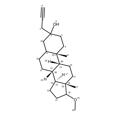 C#CCC1(O)CC[C@@]2(C)C(CC[C@@H]3[C@H]2CC[C@]2(C)C(OC)CC[C@@H]32)C1